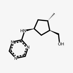 C[C@H]1C[C@H](Nc2ncncn2)C[C@@H]1CO